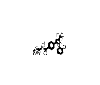 O=C(Nc1nncs1)c1ccc(-c2cc(C(F)(F)F)nn2-c2ccccc2Cl)cc1